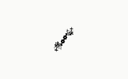 CC(C)(C)C(=O)NC(c1nc(-c2ccc(-c3ccc(-c4c[nH]c(C(NC(=O)C(C)(C)C)C5(C(F)(F)F)CC5)n4)cc3)cc2)c[nH]1)C1(C(F)(F)F)CC1